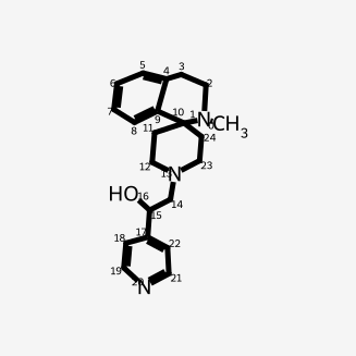 CN1CCc2ccccc2C12CCN(CC(O)c1ccncc1)CC2